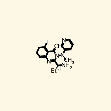 C=C1C2=C(I)CCC=C2N=C([C@@H](N)CC)N1N(C)c1cccnc1